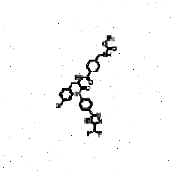 CC(C)(C)OC(=O)NCC1CCC(C(=O)NC(Cc2ccc(Br)cc2)C(=O)Nc2ccc(-c3nnc(C(F)F)[nH]3)cc2)CC1